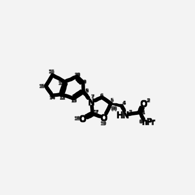 CCCC(=O)NC[C@@H]1CN(c2ccc3c(c2)CCC3)C(=O)O1